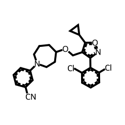 N#Cc1cccc(N2CCCC(OCc3c(-c4c(Cl)cccc4Cl)noc3C3CC3)CC2)c1